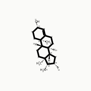 C[C@]12CC[C@H]3[C@@H](CCC4=C[C@@H](O)CC[C@@]43C)[C@@H]1C[C@H](F)[C@@H]2N